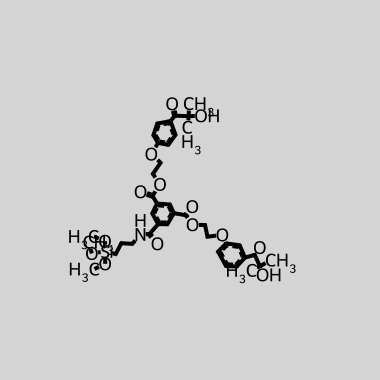 CO[Si](CCCNC(=O)c1cc(C(=O)OCCOc2ccc(C(=O)C(C)(C)O)cc2)cc(C(=O)OCCOc2cccc(C(=O)C(C)(C)O)c2)c1)(OC)OC